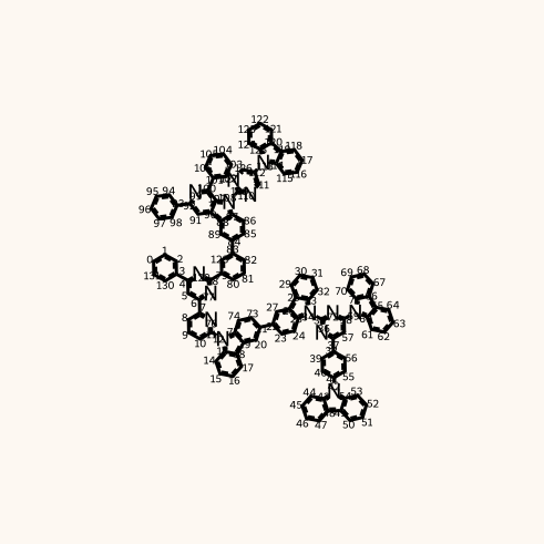 c1ccc(-c2cc(-c3cccc(-n4c5ccccc5c5cc(-c6ccc7c(c6)c6ccccc6n7-c6nc(-c7ccc(-n8c9ccccc9c9ccccc98)cc7)cc(-n7c8ccccc8c8ccccc87)n6)ccc54)n3)nc(-c3cccc(-c4ccc5c(c4)c4cc(-c6ccccc6)nc(-c6ccccc6)c4n5-c4ncc(-n5c6ccccc6c6ccccc65)cn4)c3)n2)cc1